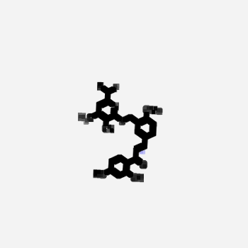 COc1ccc(/C=C/C(=O)c2ccc(O)cc2O)cc1CSc1nc(C(F)F)cc(C)c1C#N